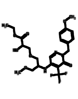 CCOC(=O)C(O)COCC(COC)Nc1cnn(Cc2ccc(OC)cc2)c(=O)c1C(F)(F)F